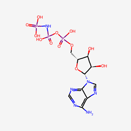 Nc1ncnc2c1ncn2[C@@H]1O[C@H](COP(=O)(O)OP(=O)(O)NP(=O)(O)O)[C@@H](O)[C@H]1O